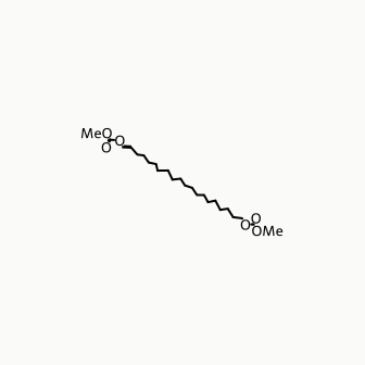 COC(=O)OC=CCCCCCCCCCCCCCCCCCCOC(=O)OC